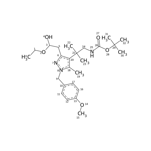 CCOC(O)Cc1nn(Cc2ccc(OC)cc2)c(C)c1C(C)(C)CNC(=O)OC(C)(C)C